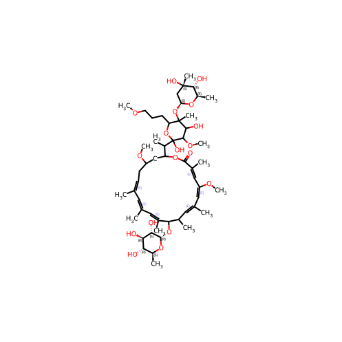 COCCCC1OC(O)(C(C)C2CC(OC)C/C=C(C)/C=C(C)/C=C(\C)C(O[C@@H]3O[C@@H](C)[C@H](O)[C@@H](O)[C@@H]3O)C(C)/C=C(C)/C=C(OC)\C=C(/C)C(=O)O2)C(OC)C(O)C1(C)O[C@H]1C[C@](C)(O)[C@H](O)[C@@H](C)O1